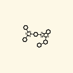 c1ccc(-c2cccc(-c3nc4ccccc4c4nc(-c5ccc(-c6nc(-c7ccccc7)nc(-c7ccccc7)n6)cc5)nn34)c2)cc1